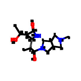 CC(C(=O)N1CC2CN(C)CC2C1)[C@H]1NC(=O)[C@@H]1C(C)O